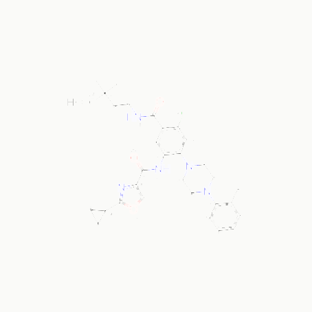 Cc1ccccc1N1CCN(c2cc(Cl)c(C(=O)NCCC(C)(C)C(=O)O)cc2NC(=O)c2coc(C3CC3)n2)CC1